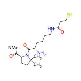 CNC(=O)[C@@H]1CCC(C)(C)N1C(=O)[C@@H](N)CCCCNC(=O)CCS